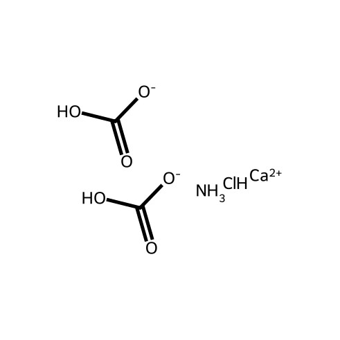 Cl.N.O=C([O-])O.O=C([O-])O.[Ca+2]